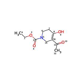 CCOC(=O)N1CCC(O)=C(C(C)=O)C1